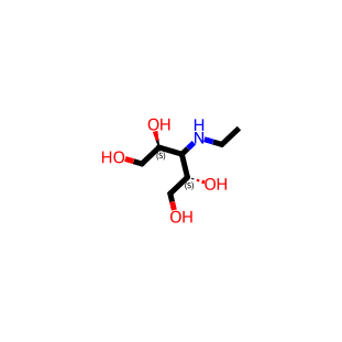 CCNC([C@H](O)CO)[C@H](O)CO